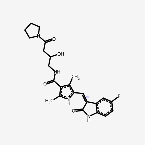 Cc1[nH]c(/C=C2\C(=O)Nc3ccc(F)cc32)c(C)c1C(=O)NCC(O)CC(=O)N1CCCC1